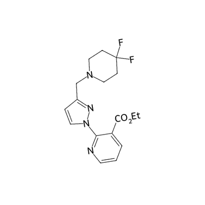 CCOC(=O)c1cccnc1-n1ccc(CN2CCC(F)(F)CC2)n1